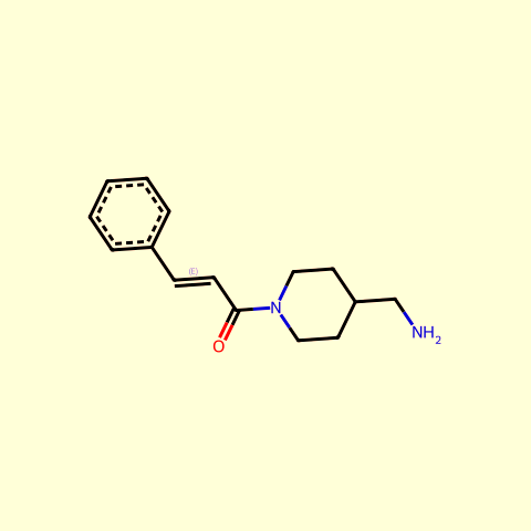 NCC1CCN(C(=O)/C=C/c2ccccc2)CC1